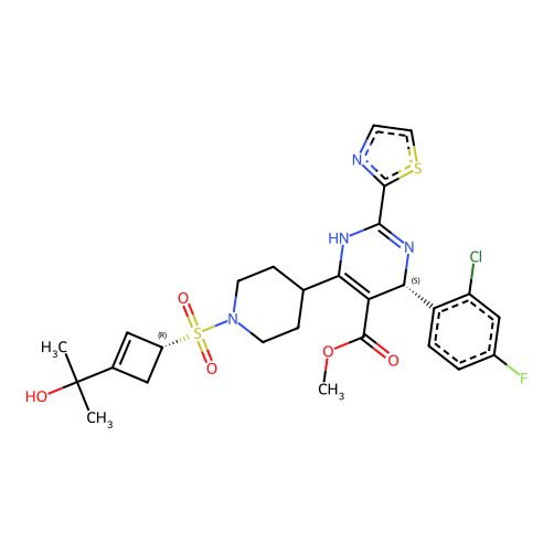 COC(=O)C1=C(C2CCN(S(=O)(=O)[C@H]3C=C(C(C)(C)O)C3)CC2)NC(c2nccs2)=N[C@@H]1c1ccc(F)cc1Cl